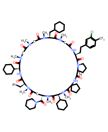 CC(C)C[C@H]1C(=O)N[C@@H](C2CCCCC2)C(=O)N(C)CC(=O)N(C)CC(=O)N(C)[C@@H](CC2CCCCC2)C(=O)N(C)CC(=O)N[C@@H](CCc2ccc(C(F)(F)F)c(Cl)c2)C(=O)N2CCC[C@H]2C(=O)NC2(CCCC2)C(=O)N(C)[C@@H](C2CCCCC2)C(=O)N(C)[C@H](C(=O)N2CCCCC2)CC(=O)N1C